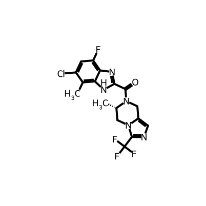 Cc1c(Cl)cc(F)c2nc(C(=O)N3Cc4cnc(C(F)(F)F)n4C[C@@H]3C)[nH]c12